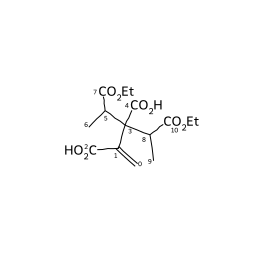 C=C(C(=O)O)C(C(=O)O)(C(C)C(=O)OCC)C(C)C(=O)OCC